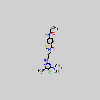 Bc1nc(NCCCN(CS)C(=O)c2ccc(NC(=O)C=C)cc2)nc(N(C)C)c1Cl